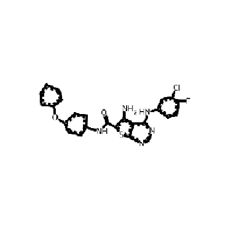 Nc1c(C(=O)Nc2ccc(Oc3ccccc3)cc2)sc2ncnc(Nc3ccc(F)c(Cl)c3)c12